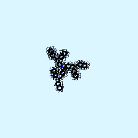 C(=C(c1ccc2ccccc2c1)c1ccc2ccccc2c1)c1ccc(N(c2ccc(C=C(c3ccc4ccccc4c3)c3ccc4ccccc4c3)cc2)c2ccc(C=C(c3ccc4ccccc4c3)c3ccc4ccccc4c3)cc2)cc1